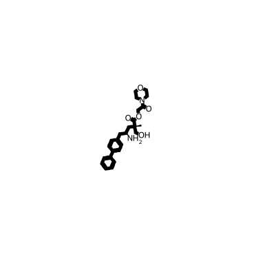 C[C@@](CO)(C[C@H](N)Cc1ccc(-c2ccccc2)cc1)C(=O)OCC(=O)N1CCOCC1